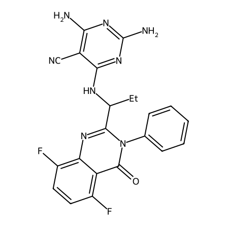 CCC(Nc1nc(N)nc(N)c1C#N)c1nc2c(F)ccc(F)c2c(=O)n1-c1ccccc1